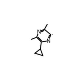 Cc1[c]nc(C2CC2)c(C)n1